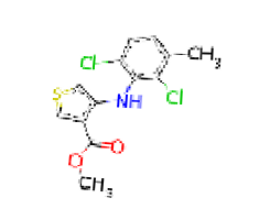 COC(=O)c1cscc1Nc1c(Cl)ccc(C)c1Cl